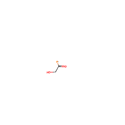 O=C([P])CO